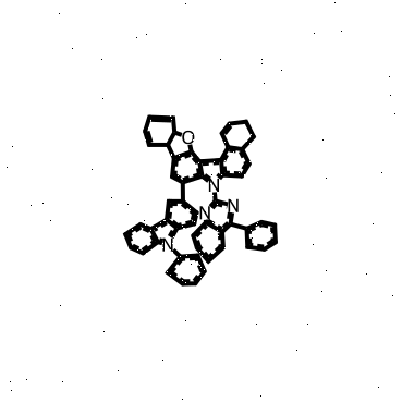 C1=CC2Oc3c(cc(-c4ccc5c(c4)c4ccccc4n5-c4ccccc4)c4c3c3c5c(ccc3n4-c3nc(-c4ccccc4)c4ccccc4n3)CCC=C5)C2C=C1